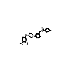 COc1ccc(CN2CCN(c3cccc(CNC(=O)c4ccc(F)cc4)c3)CC2)cc1Cl